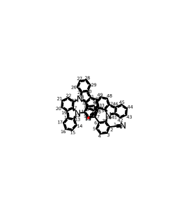 N#Cc1cccc(-c2cccc(-n3c4ccccc4c4cccc(-n5c6ccccc6c6ccccc65)c43)c2)c1-n1c2ccccc2c2cccc(C#N)c21